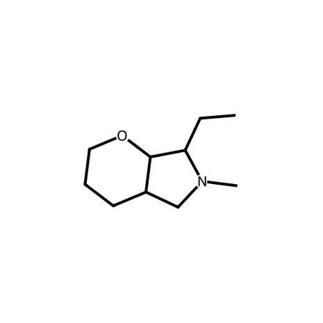 CCC1C2OCCCC2CN1C